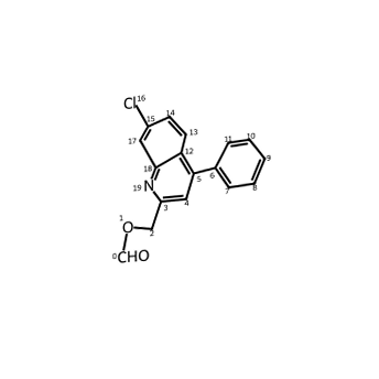 O=COCc1cc(-c2ccccc2)c2ccc(Cl)cc2n1